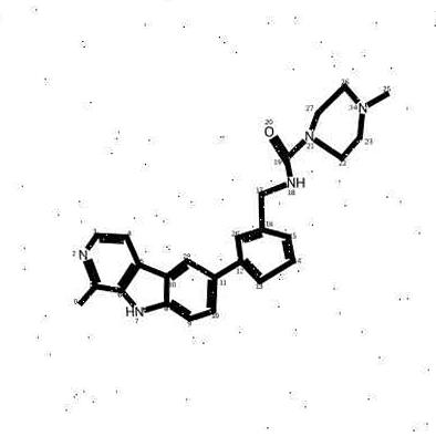 Cc1nccc2c1[nH]c1ccc(-c3cccc(CNC(=O)N4CCN(C)CC4)c3)cc12